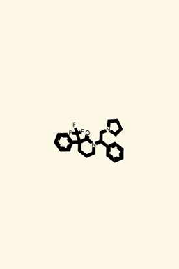 O=C1N(C(CN2CCCC2)c2ccccc2)CCCC1(c1ccccc1)C(F)(F)F